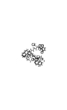 C[N+]1=C(/C=C/C=C2/N(CCCCCC(=O)ON3C(=O)CCC3=O)c3ccc4ccccc4c3C2(C)C)C(C)(C)c2c1ccc1ccccc21.[Cl-]